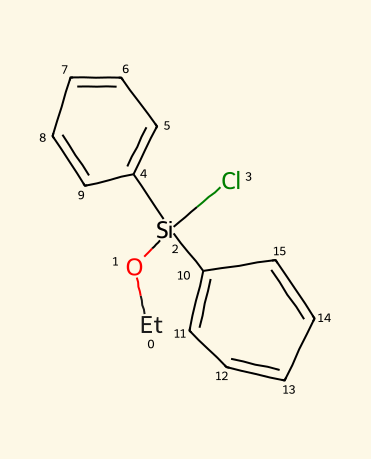 CCO[Si](Cl)(c1ccccc1)c1ccccc1